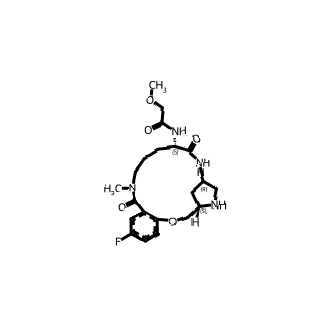 COCC(=O)N[C@H]1CCCN(C)C(=O)c2cc(F)ccc2OC[C@@H]2C[C@H](CN2)NC1=O